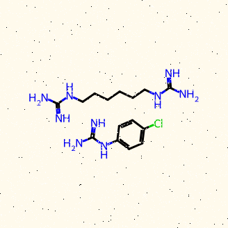 N=C(N)NCCCCCCNC(=N)N.N=C(N)Nc1ccc(Cl)cc1